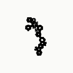 CC1(C)c2ccccc2-c2cc3c(cc21)C1CC(c2ccc4sc5c(-c6nc(-c7ccccc7)c7c(n6)oc6ccccc67)cccc5c4c2)C=CC1C3(C)C